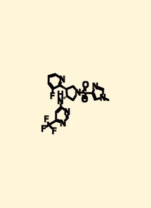 Cn1cnc(S(=O)(=O)N2C[C@H](Nc3cc(C(F)(F)F)ncn3)[C@@H](c3ncccc3F)C2)c1